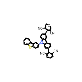 N#Cc1cccc(C#N)c1-c1ccc2c(c1)c1ccc(-c3c(C#N)cccc3C#N)cc1n2-c1ccc2sc3ccccc3c2c1